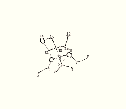 CCO[Si](OCC)(C(C)C)C1(CC)COC1